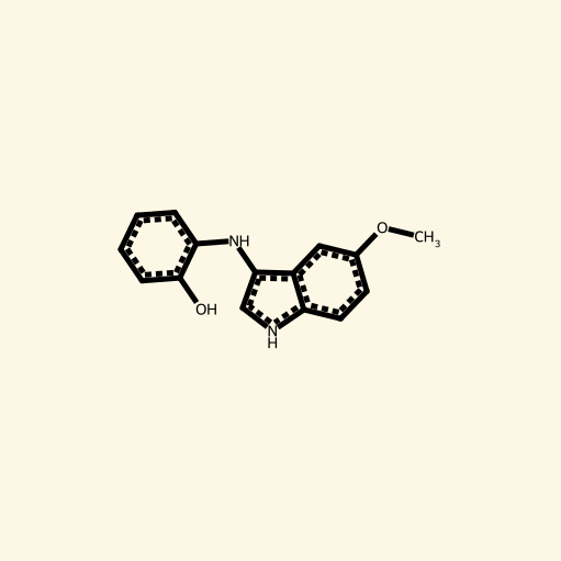 COc1ccc2[nH]cc(Nc3ccccc3O)c2c1